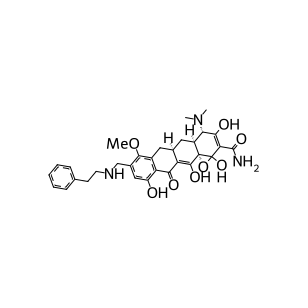 COc1c(CNCCc2ccccc2)cc(O)c2c1C[C@H]1C[C@H]3[C@H](N(C)C)C(O)=C(C(N)=O)C4(O)O[C@]34C(O)=C1C2=O